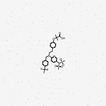 CC(C)(Oc1ccc(CCN(Cc2ccc(C(F)(F)F)cc2)c2ccc(N(S(C)(=O)=O)S(C)(=O)=O)cn2)cc1)C(=O)O